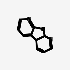 C1=CC2c3cccnc3OC2N=C1